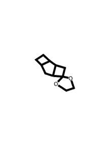 C1COC2(CC3C4CCC4CC32)O1